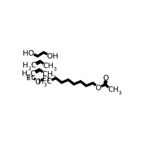 C=CC.C=CC.CCCCCCCCOC(C)=O.CCOCC.OCCO